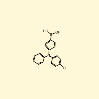 OB(O)c1ccc(N(c2ccccc2)c2ccc(Cl)cc2)cc1